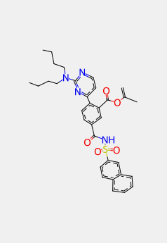 C=C(C)OC(=O)c1cc(C(=O)NS(=O)(=O)c2ccc3ccccc3c2)ccc1-c1ccnc(N(CCCC)CCCC)n1